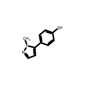 Cn1nccc1-c1ccc(S)cc1